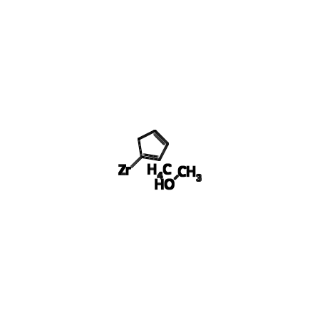 C.CO.[Zr][C]1=CC=CC1